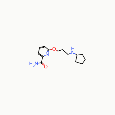 NC(=O)c1cccc(OCCCNC2CCCC2)n1